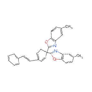 Cc1ccc2oc(C3(c4nc5cc(C)ccc5o4)C=CC(C=Cc4ccccc4)=CC3)nc2c1